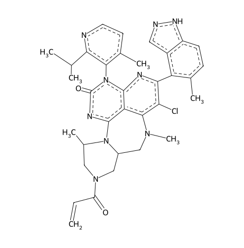 C=CC(=O)N1CC(C)N2c3nc(=O)n(-c4c(C)ccnc4C(C)C)c4nc(-c5c(C)ccc6[nH]ncc56)c(Cl)c(c34)N(C)CC2C1